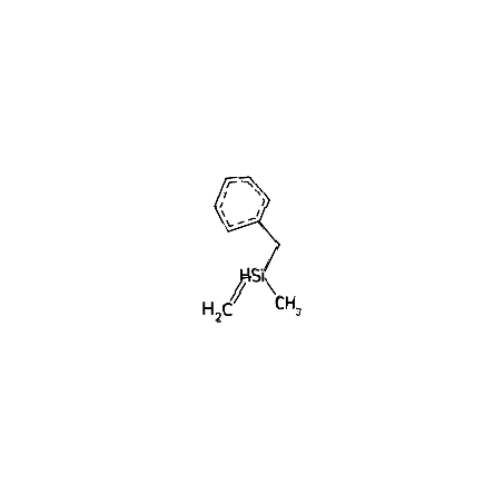 C=C[SiH](C)Cc1ccccc1